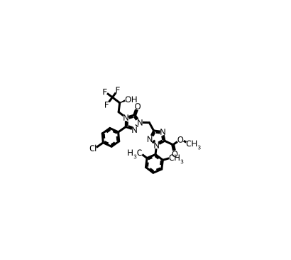 COC(=O)c1nc(Cn2nc(-c3ccc(Cl)cc3)n(C[C@H](O)C(F)(F)F)c2=O)nn1-c1c(C)cccc1C